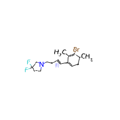 CC1=C(Br)C(C)CC=C1/C=C/CCN1CCC(F)(F)C1